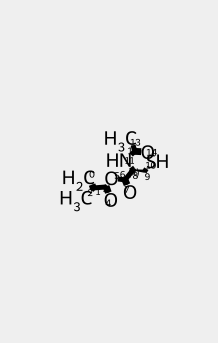 C=C(C)C(=O)OC(=O)[C@H](CS)NC(C)=O